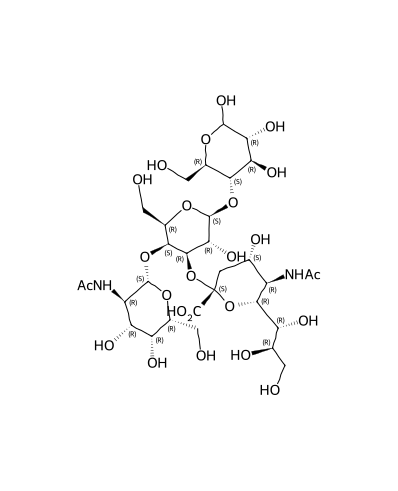 CC(=O)N[C@H]1[C@H](O[C@@H]2[C@H](O[C@]3(C(=O)O)C[C@H](O)[C@@H](NC(C)=O)[C@H]([C@H](O)[C@H](O)CO)O3)[C@@H](O)[C@H](O[C@H]3[C@H](O)[C@@H](O)C(O)O[C@@H]3CO)O[C@@H]2CO)O[C@H](CO)[C@H](O)[C@@H]1O